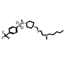 CCCCCN(C)CCSC[C@H]1CC[C@H](N(C)S(=O)(=O)c2ccc(C(F)(F)F)cc2)CC1